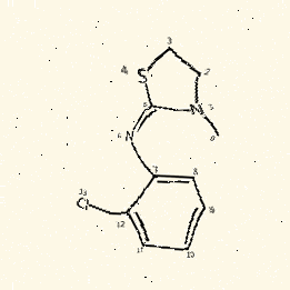 CN1CCSC1=Nc1ccccc1Cl